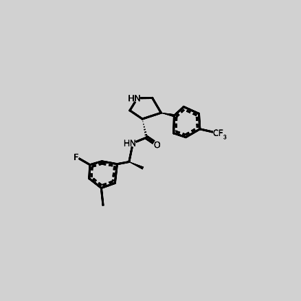 Cc1cc(F)cc([C@H](C)NC(=O)[C@@H]2CNC[C@H]2c2ccc(C(F)(F)F)cc2)c1